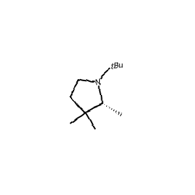 C[C@H]1N(C(C)(C)C)CCC1(C)C